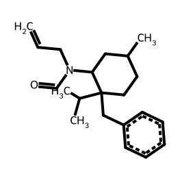 C=CCN(C=O)C1CC(C)CCC1(Cc1ccccc1)C(C)C